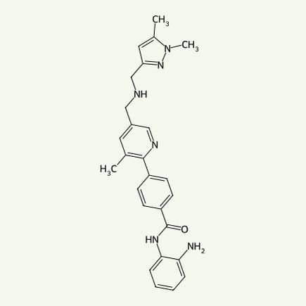 Cc1cc(CNCc2cc(C)n(C)n2)cnc1-c1ccc(C(=O)Nc2ccccc2N)cc1